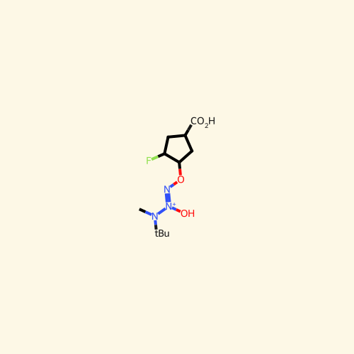 CN(/[N+](O)=N/OC1CC(C(=O)O)CC1F)C(C)(C)C